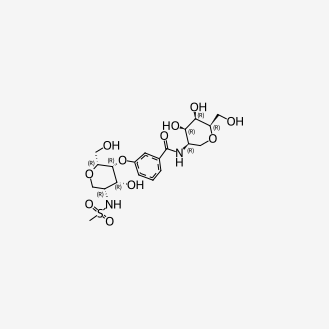 CS(=O)(=O)N[C@@H]1CO[C@H](CO)[C@H](Oc2cccc(C(=O)N[C@@H]3CO[C@H](CO)[C@H](O)[C@@H]3O)c2)[C@@H]1O